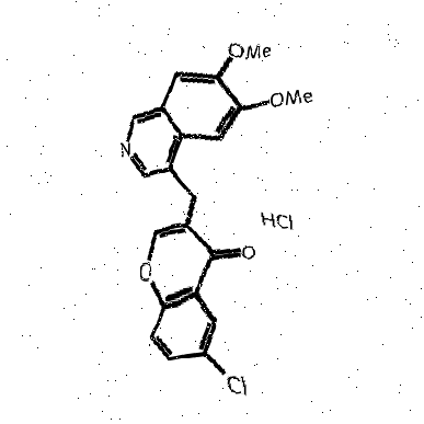 COc1cc2cncc(Cc3coc4ccc(Cl)cc4c3=O)c2cc1OC.Cl